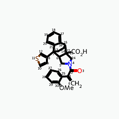 C=C(C(=O)N1CC2C3(c4ccsc4)CCC(c4ccccc43)C2(C(=O)O)C1)c1ccccc1OC